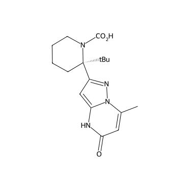 Cc1cc(=O)[nH]c2cc([C@@]3(C(C)(C)C)CCCCN3C(=O)O)nn12